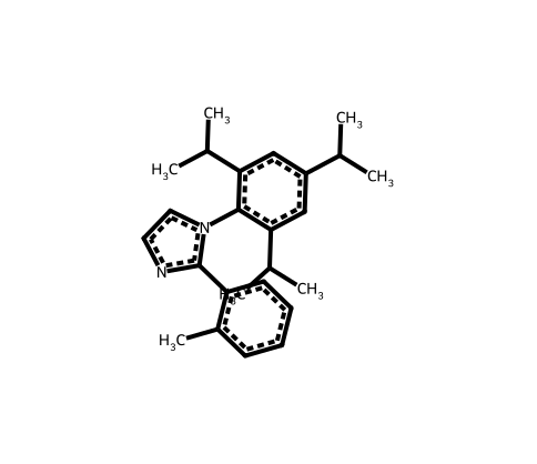 Cc1ccccc1-c1nccn1-c1c(C(C)C)cc(C(C)C)cc1C(C)C